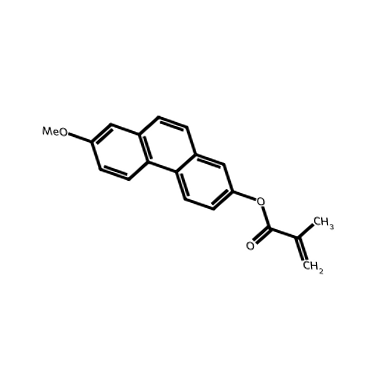 C=C(C)C(=O)Oc1ccc2c(ccc3cc(OC)ccc32)c1